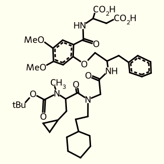 COc1cc(OCC(Cc2ccccc2)NC(=O)CN(CCC2CCCCC2)C(=O)C(CC2CC2)N(C)C(=O)OC(C)(C)C)c(C(=O)NC(CC(=O)O)C(=O)O)cc1OC